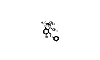 CN1C(=O)C(C)(C)Nc2ccc(Br)c(COc3ccccc3)c21